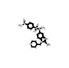 CC(=O)N(C)c1ccc(S(=O)(=O)N(C)c2ccc3c(c2)nc(C(C)(C)C)n3CC2CCOCC2)cc1